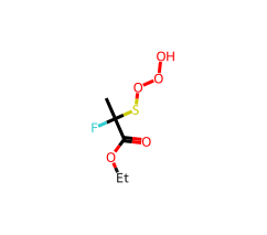 CCOC(=O)C(C)(F)SOOO